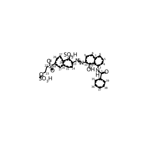 O=C(Nc1cccc2ccc(/N=N/c3ccc4cc(S(=O)(=O)CCOS(=O)(=O)O)ccc4c3S(=O)(=O)O)c(O)c12)c1ccccc1